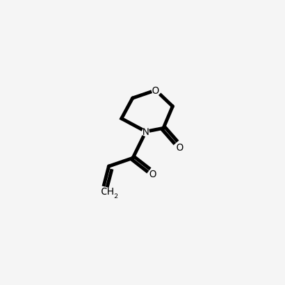 C=CC(=O)N1CCOCC1=O